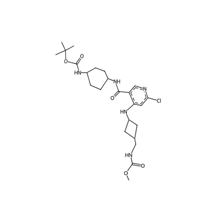 COC(=O)NCC1CC(Nc2cc(Cl)ncc2C(=O)NC2CCC(NC(=O)OC(C)(C)C)CC2)C1